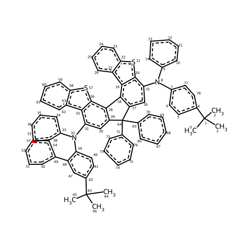 CC(C)(C)c1ccc(N(c2ccccc2)c2cc3c(c4c2sc2ccccc24)-c2c(cc(N(c4ccccc4)c4ccc(C(C)(C)C)cc4-c4ccccc4)c4c2sc2ccccc24)C3(c2ccccc2)c2ccccc2)cc1